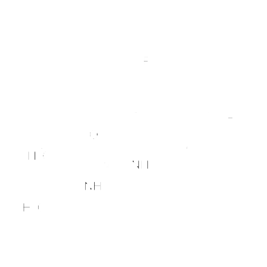 CC(C)NC(=O)Nc1cc(F)cc(F)c1